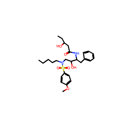 CCCCCN(CC(O)C(Cc1ccccc1)NC(=O)CC(O)CC)S(=O)(=O)c1ccc(OC)cc1